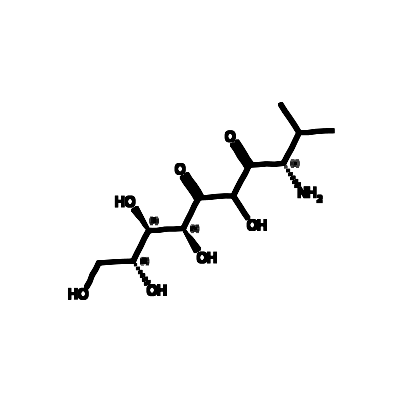 CC(C)[C@H](N)C(=O)C(O)C(=O)[C@@H](O)[C@H](O)[C@H](O)CO